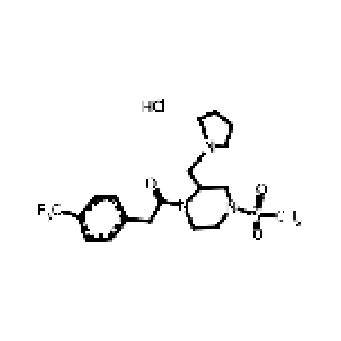 CS(=O)(=O)N1CCN(C(=O)Cc2ccc(C(F)(F)F)cc2)C(CN2CCCC2)C1.Cl